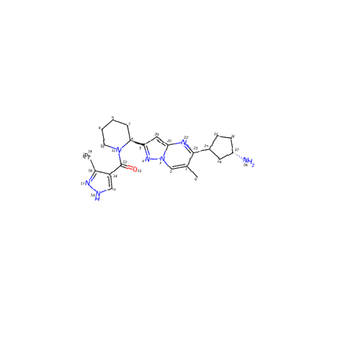 Cc1cn2nc([C@@H]3CCCCN3C(=O)c3c[nH]nc3C(C)C)cc2nc1C1CC[C@H](N)C1